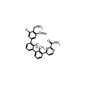 COc1cc(-c2cccc(-c3cccc(-c4ccnc(C(N)=O)n4)c3C)c2C)cc(F)c1CN